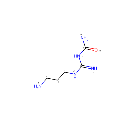 N=C(NCCCN)NC(N)=O